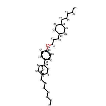 CCCCCCCC12CCC(c3ccc(OCCCC4CCC(CCCCC)CC4)cc3)(CC1)CC2